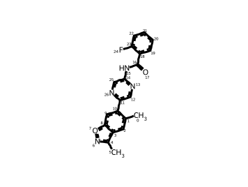 Cc1cc2c(C)noc2cc1-c1cnc(NC(=O)c2ccccc2F)cn1